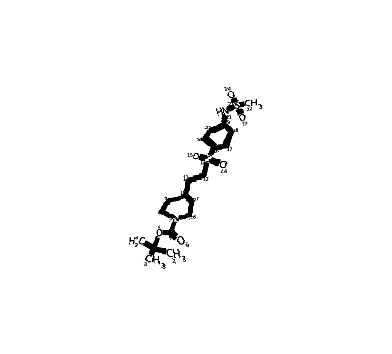 CC(C)(C)OC(=O)N1CCC(CCS(=O)(=O)c2ccc(NS(C)(=O)=O)cc2)CC1